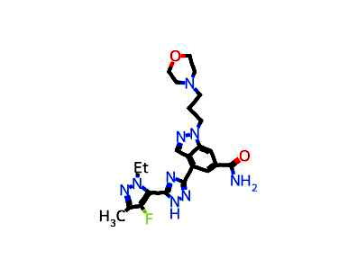 CCn1nc(C)c(F)c1-c1nc(-c2cc(C(N)=O)cc3c2cnn3CCCN2CCOCC2)n[nH]1